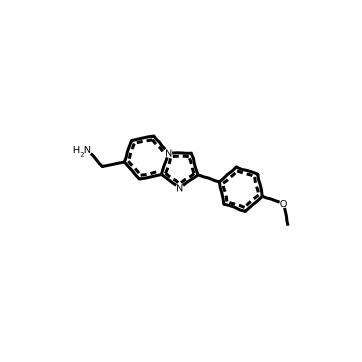 COc1ccc(-c2cn3ccc(CN)cc3n2)cc1